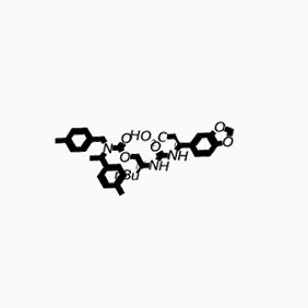 CCCC[C@@H](COC(=O)N(Cc1ccc(C)cc1)C(C)c1ccc(C)cc1)NC(=O)N[C@@H](CC(=O)O)c1ccc2c(c1)OCO2